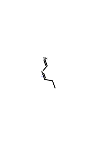 CC/C=N\C=N